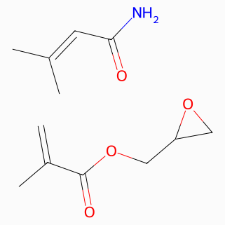 C=C(C)C(=O)OCC1CO1.CC(C)=CC(N)=O